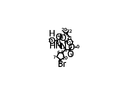 COC(=O)C(C1CCC(Br)C1)N(NC(=O)O)C(=O)OC(C)(C)C